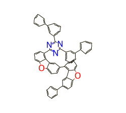 c1ccc(-c2cccc(-c3nc(-c4cccc(-c5ccccc5)c4)nc(-c4cccc5oc6ccc(-c7cccc8oc9ccc(-c%10ccccc%10)cc9c78)cc6c45)n3)c2)cc1